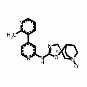 Cc1ncccc1-c1ccnc(NC2=NC[C@@]3(C[N+]4([O-])CCC3CC4)O2)c1